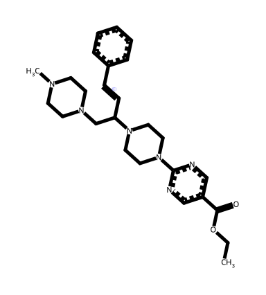 CCOC(=O)c1cnc(N2CCN(C(/C=C/c3ccccc3)CN3CCN(C)CC3)CC2)nc1